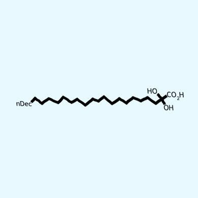 CCCCCCCCCCCCCCCCCCCCCCCCCCCCC(O)(O)C(=O)O